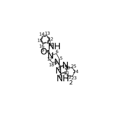 Nc1nc(N2CCN(C(=O)Nc3ccccc3)CC2)nc2c1CCCC2